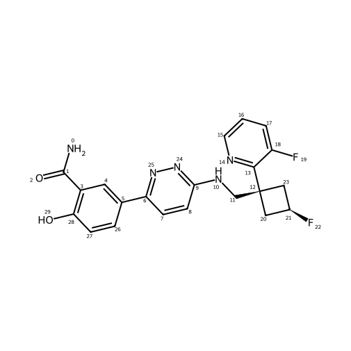 NC(=O)c1cc(-c2ccc(NC[C@]3(c4ncccc4F)C[C@H](F)C3)nn2)ccc1O